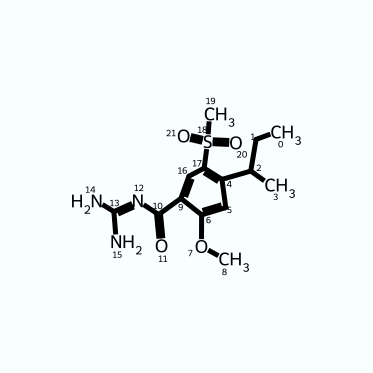 CCC(C)c1cc(OC)c(C(=O)N=C(N)N)cc1S(C)(=O)=O